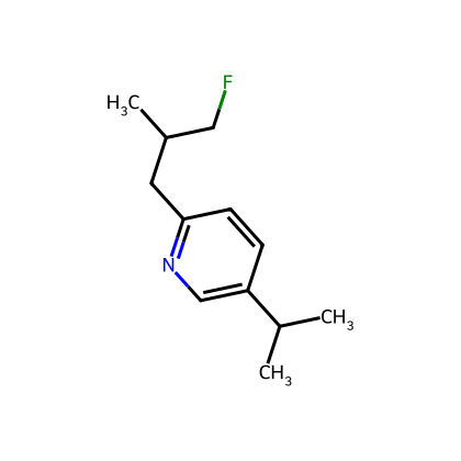 CC(CF)Cc1ccc(C(C)C)cn1